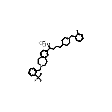 Cc1ccccc1CN1CCC(CCCC(=O)c2ccc3c(c2)CCN(Cc2ccccc2C(F)(F)F)CC3)CC1.Cl.Cl